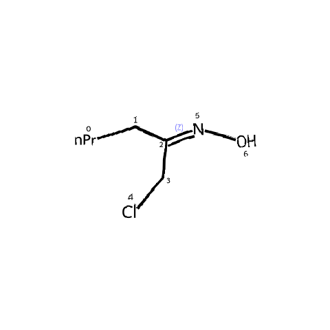 CCCC/C(CCl)=N/O